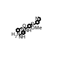 COc1cc([C@H](Nc2ccc(C(=N)N)cc2)C(=O)NCc2ccccc2)ccc1OCc1ccc2cccnc2c1